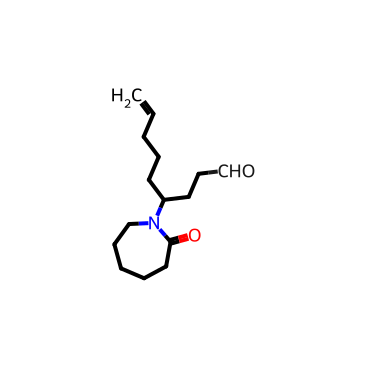 C=CCCCC(CCC=O)N1CCCCCC1=O